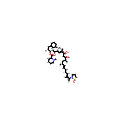 COC1CCCC(C[C@@H](C)[C@H](CCC/C=C(\C)C(O)CC(=O)C(C)C[C@H](C)/C=C/C=C/C=C(\C)C(C)N2CCC[S+]2[O-])OC(=O)C2CCCCN2C)C1